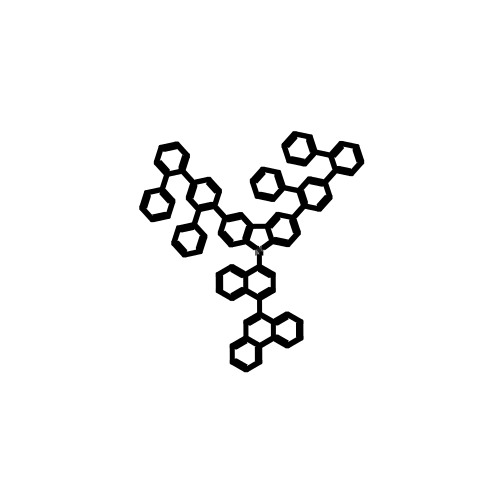 c1ccc(-c2ccccc2-c2ccc(-c3ccc4c(c3)c3cc(-c5ccc(-c6ccccc6-c6ccccc6)cc5-c5ccccc5)ccc3n4-c3ccc(-c4cc5ccccc5c5ccccc45)c4ccccc34)c(-c3ccccc3)c2)cc1